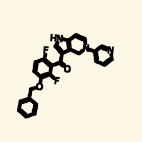 O=C(c1c[nH]c2c1CN(c1cccnc1)C=C2)c1c(F)ccc(OCc2ccccc2)c1F